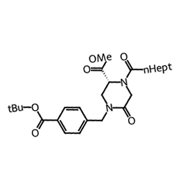 CCCCCCCC(=O)N1CC(=O)N(Cc2ccc(C(=O)OC(C)(C)C)cc2)C[C@@H]1C(=O)OC